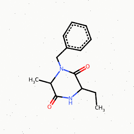 CCC1NC(=O)C(C)N(Cc2ccccc2)C1=O